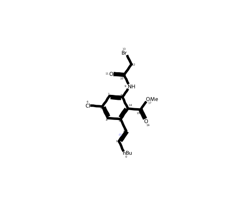 CCCC/C=C/c1cc(Cl)cc(NC(=O)CBr)c1C(=O)OC